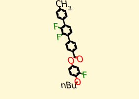 CCCCOc1ccc(OC(=O)c2ccc(-c3ccc(-c4ccc(C)cc4)c(F)c3F)cc2)cc1F